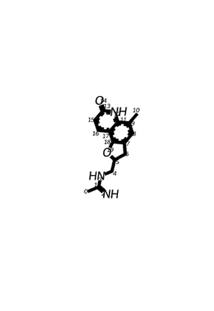 CC(=N)NCC1Cc2cc(C)c3[nH]c(=O)ccc3c2O1